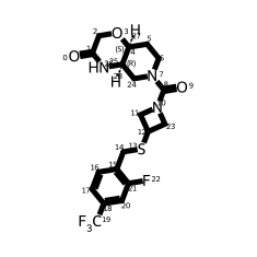 O=C1CO[C@H]2CCN(C(=O)N3CC(SCc4ccc(C(F)(F)F)cc4F)C3)C[C@H]2N1